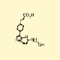 O=C(O)CCc1ccc(-c2cnn3ccc(NCCO)nc23)cc1